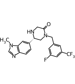 Cn1cnc2ccc([C@H]3CN(Cc4cc(F)cc(C(F)(F)F)c4)C(=O)CN3)cc21